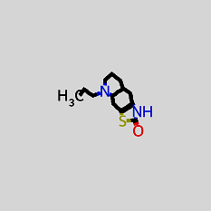 CCCN1CCCC2Cc3[nH]c(=O)sc3CC21